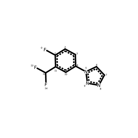 Fc1ccc(-n2ccnn2)cc1C(F)F